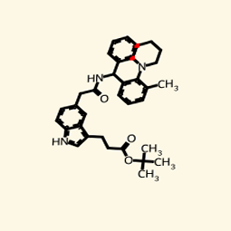 Cc1cccc(C(NC(=O)Cc2ccc3[nH]cc(CCC(=O)OC(C)(C)C)c3c2)c2ccccc2)c1N1CCCCC1